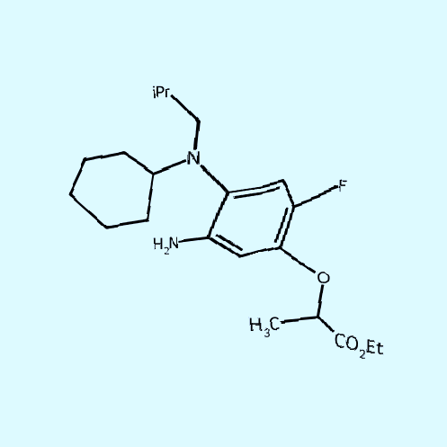 CCOC(=O)C(C)Oc1cc(N)c(N(CC(C)C)C2CCCCC2)cc1F